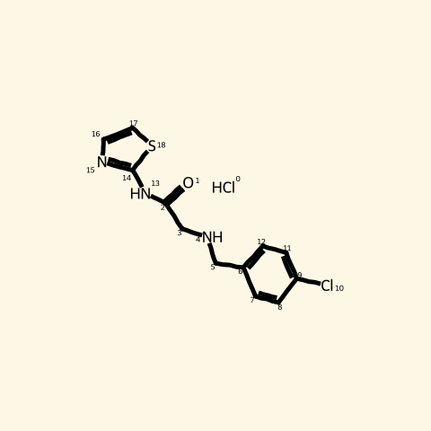 Cl.O=C(CNCc1ccc(Cl)cc1)Nc1nccs1